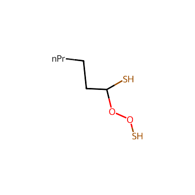 CCCCCC(S)OOS